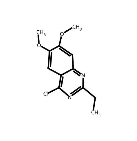 CCc1nc(Cl)c2cc(OC)c(OC)cc2n1